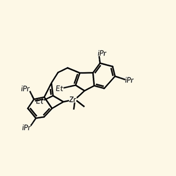 CCC1=C2CCC3=C(CC)[CH](c4cc(C(C)C)cc(C(C)C)c43)[Zr]([CH3])([CH3])[CH]1c1cc(C(C)C)cc(C(C)C)c12